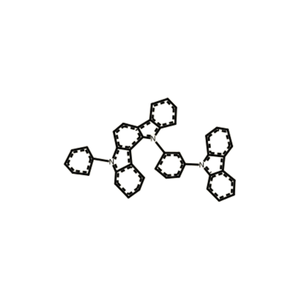 c1ccc(-n2c3ccccc3c3c2ccc2c4ccccc4n(-c4cccc(-n5c6ccccc6c6ccccc65)c4)c23)cc1